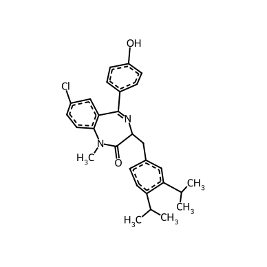 CC(C)c1ccc(CC2N=C(c3ccc(O)cc3)c3cc(Cl)ccc3N(C)C2=O)cc1C(C)C